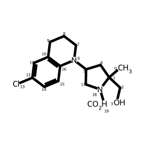 CC1(CO)CC(N2CCCc3cc(Cl)ccc32)CN1C(=O)O